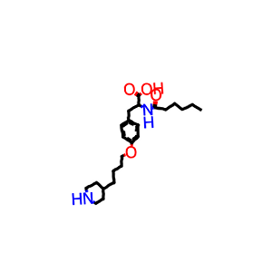 CCCCCC(=O)NC(Cc1ccc(OCCCCC2CCNCC2)cc1)C(=O)O